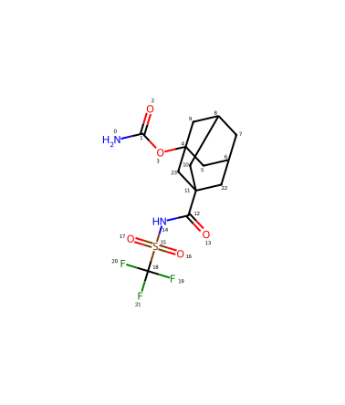 NC(=O)OC12CC3CC(C1)CC(C(=O)NS(=O)(=O)C(F)(F)F)(C3)C2